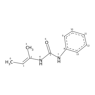 C/C=C(\C)NC(=O)Nc1ccccc1